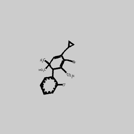 CC1(C(=O)O)C=C(C2CC2)C(Br)=C(C(=O)O)C1c1ccccc1Cl